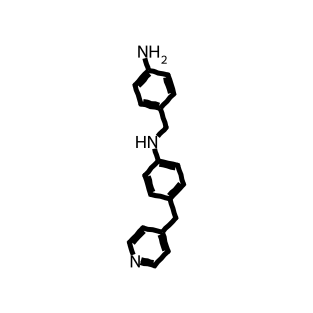 Nc1ccc(CNc2ccc(Cc3ccncc3)cc2)cc1